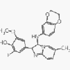 COc1cc(C2N=C3C=CC(C)=CN3C2Nc2ccc3c(c2)OCCO3)cc(F)c1O